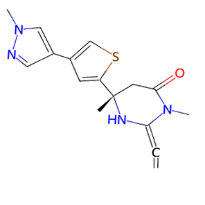 C=C=C1N[C@](C)(c2cc(-c3cnn(C)c3)cs2)CC(=O)N1C